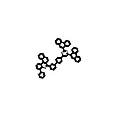 c1ccc(-c2cccc3c2nc(-c2cccc(-c4ccc(-c5cc(-c6cc7ccccc7c7ccccc67)nc(-c6cc7ccccc7c7ccccc67)n5)cc4)c2)c2ccc4ccccc4c23)cc1